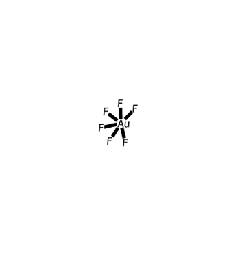 [F][Au]([F])([F])([F])([F])[F]